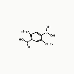 CCCCCCc1cc(B(O)O)c(CCCCCC)cc1B(O)O